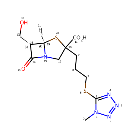 Cn1nnnc1SCCCC1(C(=O)O)CN2C(=O)[C@H](CO)[C@H]2S1